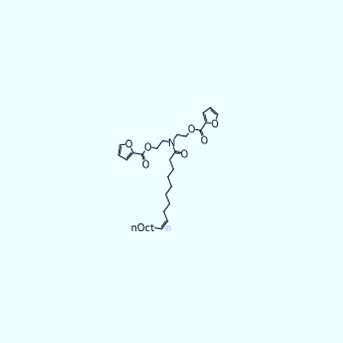 CCCCCCCC/C=C\CCCCCCCC(=O)N(CCOC(=O)c1ccco1)CCOC(=O)c1ccco1